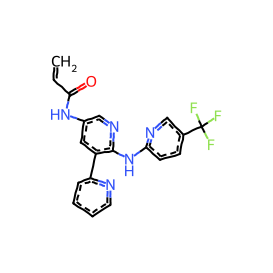 C=CC(=O)Nc1cnc(Nc2ccc(C(F)(F)F)cn2)c(-c2ccccn2)c1